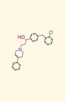 OC(CCN1CC=C(c2ccccc2)CC1)c1ccc(Cc2ccccc2Cl)cc1